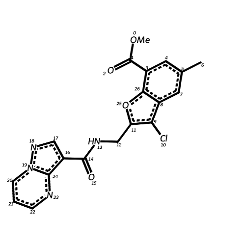 COC(=O)c1cc(C)cc2c(Cl)c(CNC(=O)c3cnn4cccnc34)oc12